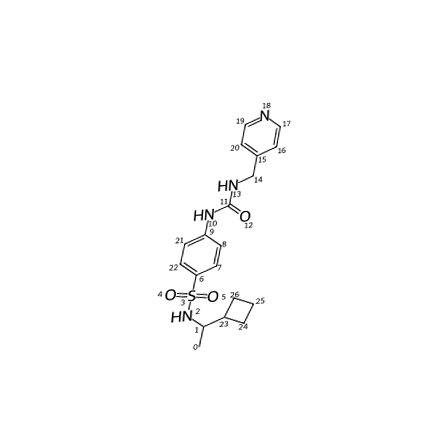 CC(NS(=O)(=O)c1ccc(NC(=O)NCc2ccncc2)cc1)C1CCC1